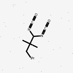 CC(C)CC(C)(C)C(N=C=O)N=C=O